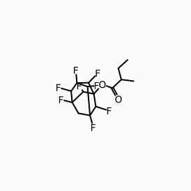 CCC(C)C(=O)OC12C(F)C3(F)CC(F)(C(F)C(F)(C3F)C1F)C2F